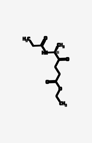 CCOC(=O)CCC(=O)[C@H](C)NC(=O)CC